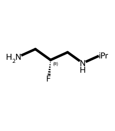 CC(C)NC[C@H](F)CN